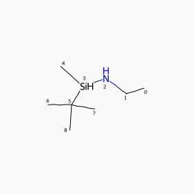 CCN[SiH](C)C(C)(C)C